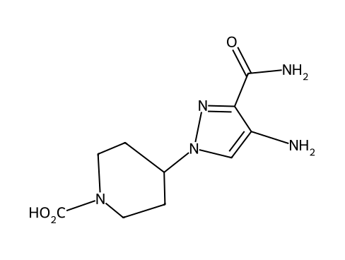 NC(=O)c1nn(C2CCN(C(=O)O)CC2)cc1N